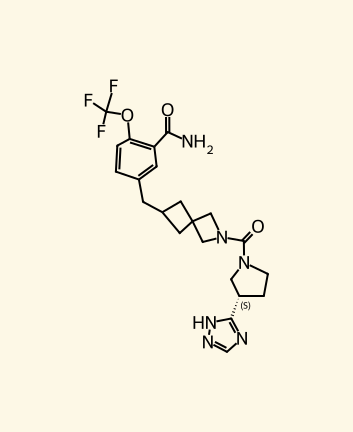 NC(=O)c1cc(CC2CC3(C2)CN(C(=O)N2CC[C@H](c4ncn[nH]4)C2)C3)ccc1OC(F)(F)F